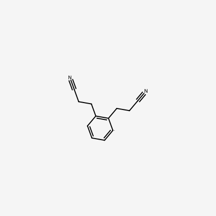 N#CCCc1[c]cccc1CCC#N